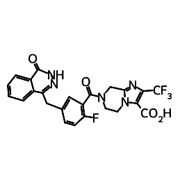 O=C(O)c1c(C(F)(F)F)nc2n1CCN(C(=O)c1cc(Cc3n[nH]c(=O)c4ccccc34)ccc1F)C2